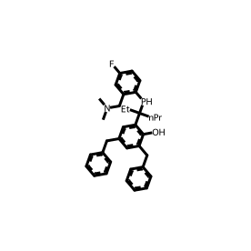 CCCC(CC)(Pc1ccc(F)cc1CN(C)C)c1cc(Cc2ccccc2)cc(Cc2ccccc2)c1O